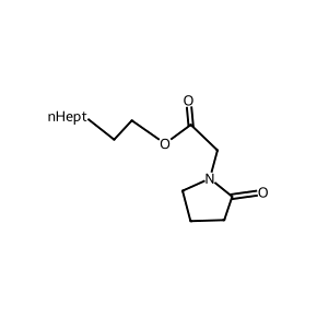 CCCCCCCCCOC(=O)CN1CCCC1=O